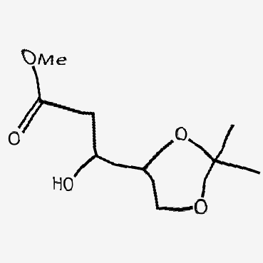 COC(=O)CC(O)C1COC(C)(C)O1